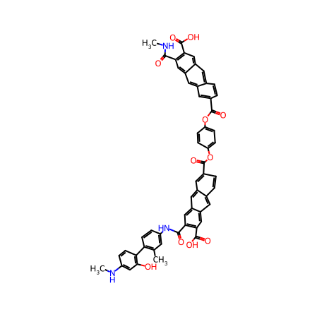 CNC(=O)c1cc2cc3cc(C(=O)Oc4ccc(OC(=O)c5ccc6cc7cc(C(=O)O)c(C(=O)Nc8ccc(-c9ccc(NC)cc9O)c(C)c8)cc7cc6c5)cc4)ccc3cc2cc1C(=O)O